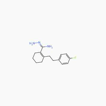 N/N=C(/N)C1=C(CCc2ccc(F)cc2)CCCC1